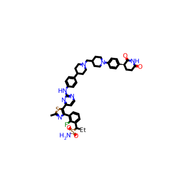 CCC(c1cccc(-c2nc(C)sc2-c2ccnc(Nc3ccc(C4CCN(CC5CCN(c6ccc([C@@H]7CCC(=O)NC7=O)cc6)CC5)CC4)cc3)n2)c1F)S(N)(=O)=O